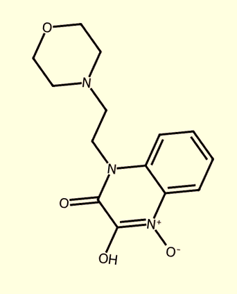 O=c1c(O)[n+]([O-])c2ccccc2n1CCN1CCOCC1